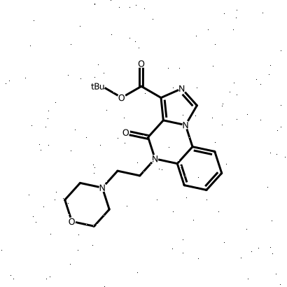 CC(C)(C)OC(=O)c1ncn2c1c(=O)n(CCN1CCOCC1)c1ccccc12